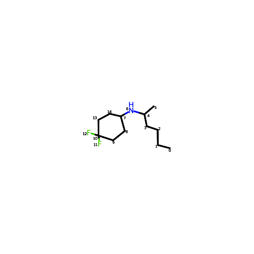 CCCCC(C)NC1CCC(F)(F)CC1